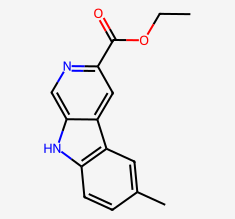 CCOC(=O)c1cc2c(cn1)[nH]c1ccc(C)cc12